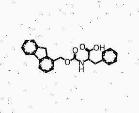 O=C(NC(Cc1ccccc1)C(=O)O)OCc1cccc2c1Cc1ccccc1-2